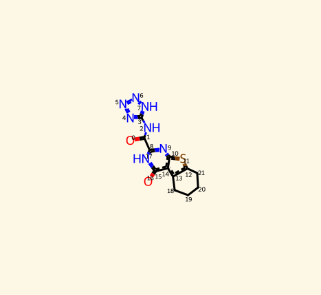 O=C(Nc1nnn[nH]1)c1nc2sc3c(c2c(=O)[nH]1)CCCC3